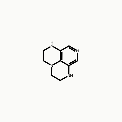 c1ncc2c3c1NCCN3CCN2